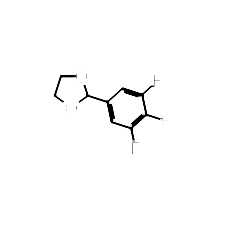 Fc1cc(C2OCCO2)cc(F)c1F